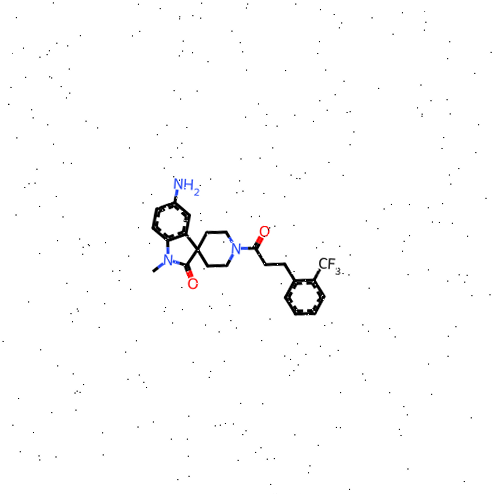 CN1C(=O)C2(CCN(C(=O)CCc3ccccc3C(F)(F)F)CC2)c2cc(N)ccc21